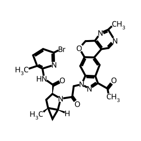 CC(=O)c1nn(CC(=O)N2[C@H](C(=O)Nc3nc(Br)ccc3C)C[C@@]3(C)C[C@@H]23)c2cc3c(cc12)-c1cnc(C)nc1CO3